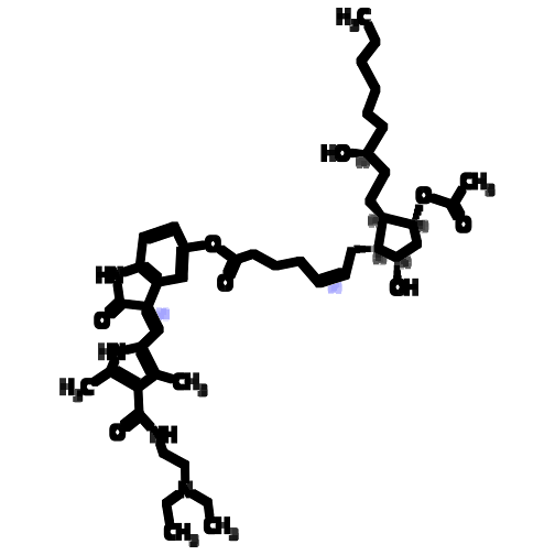 CCCCCC[C@H](O)CC[C@@H]1[C@@H](C/C=C\CCCC(=O)Oc2ccc3c(c2)/C(=C/c2[nH]c(C)c(C(=O)NCCN(CC)CC)c2C)C(=O)N3)[C@@H](O)C[C@H]1OC(C)=O